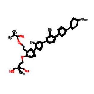 C=C(C)C(O)OCCc1cc(-c2ccc(-c3ccc(-c4ccc(C5CCC(CCCCC)CC5)cc4)c(CC)c3)cc2CC)ccc1OCCC(C)(CO)CO